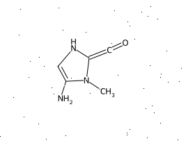 CN1C(=C=O)NC=C1N